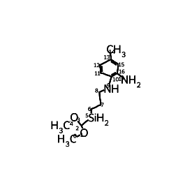 COC(OC)[SiH2]CCCNc1ccc(C)cc1N